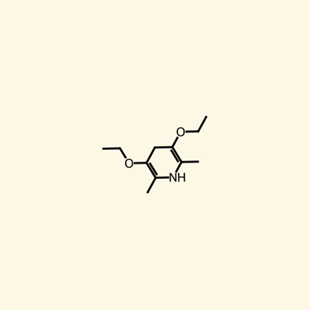 CCOC1=C(C)NC(C)=C(OCC)C1